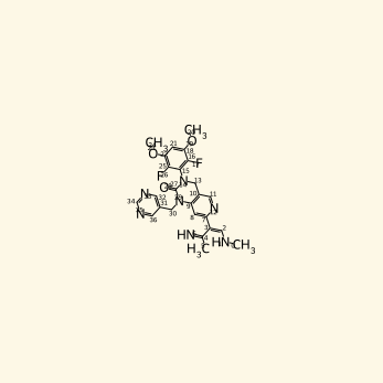 CN/C=C(\C(C)=N)c1cc2c(cn1)CN(c1c(F)c(OC)cc(OC)c1F)C(=O)N2Cc1cncnc1